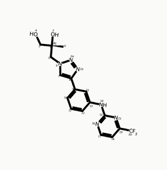 C[C@](O)(CO)Cn1cc(-c2cccc(Nc3nccc(C(F)(F)F)n3)c2)nn1